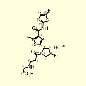 Cc1sc([C@@H]2C[C@@H](F)CN2C(=O)CCNCC(=O)O)cc1C(=O)Nc1ncc(F)s1.Cl